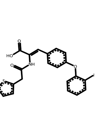 O=C(Cc1cccs1)N/C(=C\c1ccc(Oc2ccccc2I)cc1)C(=O)O